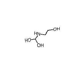 OCCNC(O)O